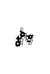 COc1cnc2c(-c3nc4c(C(O)C5(c6ccccc6)CC5)cc(C=O)cc4s3)cc(C)cc2n1